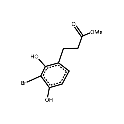 COC(=O)CCc1ccc(O)c(Br)c1O